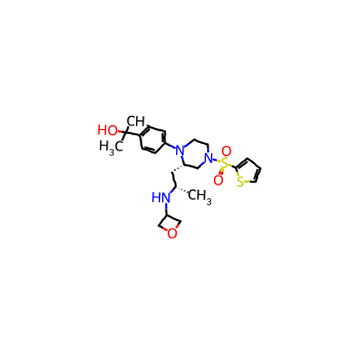 C[C@@H](C[C@H]1CN(S(=O)(=O)c2cccs2)CCN1c1ccc(C(C)(C)O)cc1)NC1COC1